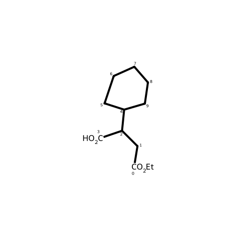 CCOC(=O)CC(C(=O)O)C1CCCCC1